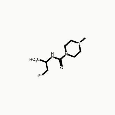 CC(C)CC(NC(=O)N1CCN(C)CC1)C(=O)O